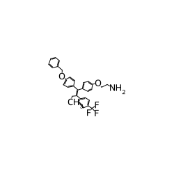 CCC(=C(c1ccc(OCCN)cc1)c1ccc(OCc2ccccc2)cc1)c1ccc(C(F)(F)F)cc1